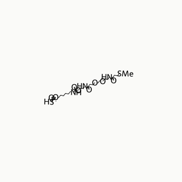 CSCCC(=O)NCCOCCOCCC(=O)NCCOC(=O)NCCCCCCOP(C)(=O)S